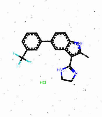 Cc1[nH]c2ccc(-c3cccc(C(F)(F)F)c3)cc2c1C1=NCCN1.Cl